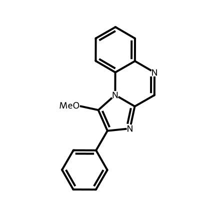 COc1c(-c2ccccc2)nc2cnc3ccccc3n12